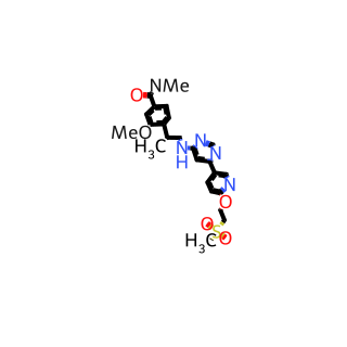 CNC(=O)c1ccc(C(C)CNc2cc(-c3ccc(OCCS(C)(=O)=O)nc3)ncn2)c(OC)c1